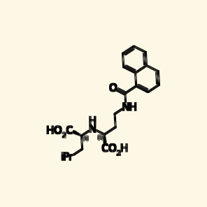 CC(C)C[C@H](N[C@@H](CCNC(=O)c1cccc2ccccc12)C(=O)O)C(=O)O